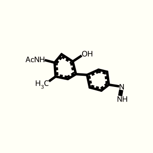 CC(=O)Nc1cc(O)c(-c2ccc(N=N)cc2)cc1C